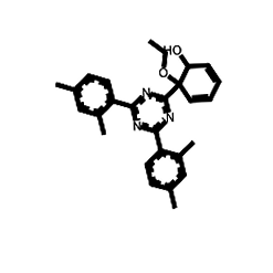 CCOC1(c2nc(-c3ccc(C)cc3C)nc(-c3ccc(C)cc3C)n2)C=CC=CC1O